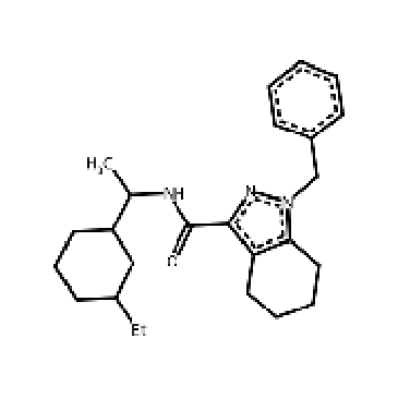 CCC1CCCC(C(C)NC(=O)c2nn(Cc3ccccc3)c3c2CCCC3)C1